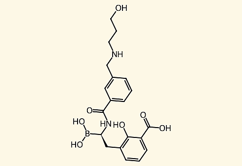 O=C(N[C@@H](Cc1cccc(C(=O)O)c1O)B(O)O)c1cccc(CNCCCO)c1